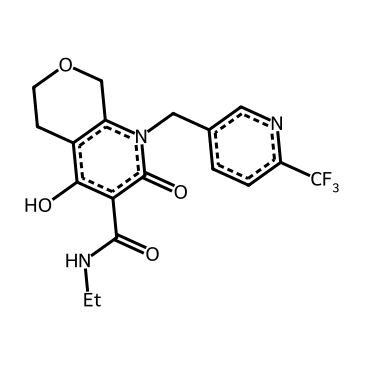 CCNC(=O)c1c(O)c2c(n(Cc3ccc(C(F)(F)F)nc3)c1=O)COCC2